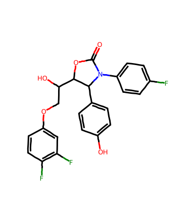 O=C1OC(C(O)COc2ccc(F)c(F)c2)C(c2ccc(O)cc2)N1c1ccc(F)cc1